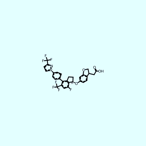 O=C(O)CC1COc2cc(O[C@@H]3CCc4c(-c5ccc(-n6ccc(C(F)(F)F)n6)cc5)c(C(F)(F)F)cc(F)c43)ccc21